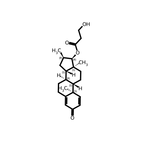 C[C@@H]1C[C@H]2[C@@H]3CCC4=CC(=O)C=C[C@]4(C)[C@H]3CC[C@]2(C)[C@@H]1OC(=O)CCO